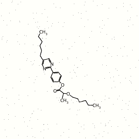 CCCCCCOC(C)C(=O)Oc1ccc(-c2ncc(CCCCCC)cn2)cc1